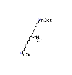 CCCCCCCC/C=C\CCCCCCCCC(CCCCCCCC/C=C\CCCCCCCC)CC[N+](C)(C)C.[Cl-]